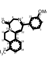 COc1cccc(C2=NCC(=O)N3CCc4c(C)cccc4C3=C2)c1